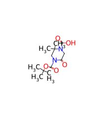 CC(C)(C)OC(=O)N1CC(C)(C)N(C(=O)O)CC1=O